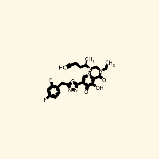 C#CCC[C@@H](C)N1CN(CC)C(=O)c2c(O)c(=O)c(-c3nnc(Cc4ccc(F)cc4F)s3)cn21